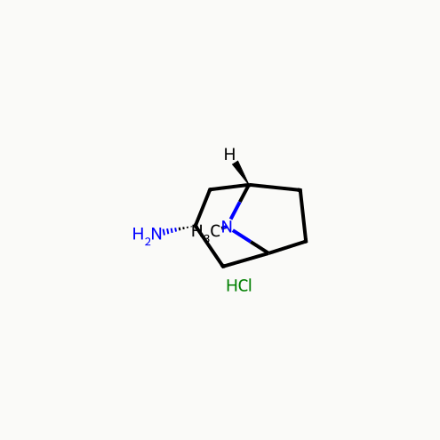 CN1C2CC[C@H]1C[C@@H](N)C2.Cl